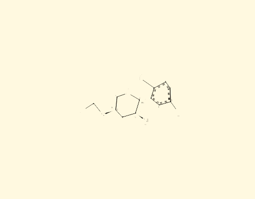 CCN[C@H]1CO[C@H](c2cc(F)ccc2F)[C@@H](N)C1